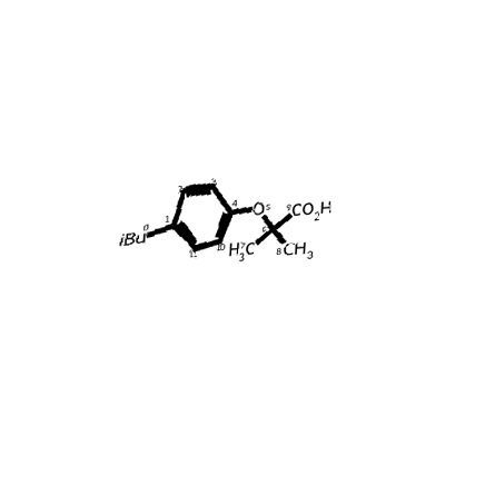 CCC(C)c1ccc(OC(C)(C)C(=O)O)cc1